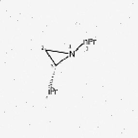 CCCN1C[C@H]1C(C)C